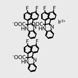 O=C([O-])C1(c2ccc(F)cc2)Nc2ccccc2N=C1c1ccc(F)cc1.O=C([O-])C1(c2ccc(F)cc2)Nc2ccccc2N=C1c1ccc(F)cc1.O=C([O-])C1(c2ccc(F)cc2)Nc2ccccc2N=C1c1ccc(F)cc1.[Ir+3]